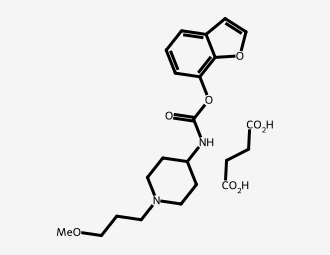 COCCCN1CCC(NC(=O)Oc2cccc3ccoc23)CC1.O=C(O)CCC(=O)O